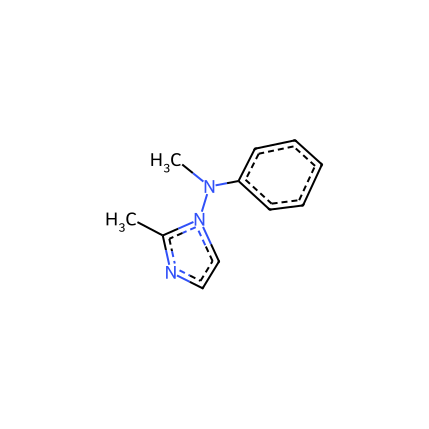 Cc1nccn1N(C)c1ccccc1